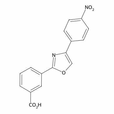 O=C(O)c1cccc(-c2nc(-c3ccc([N+](=O)[O-])cc3)co2)c1